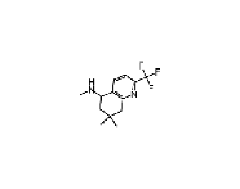 CNC1CC(C)(C)Cc2nc(C(F)(F)F)ccc21